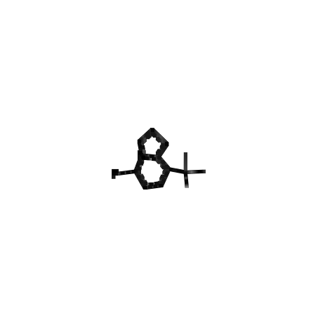 CC(C)(C)c1ccc(F)n2cccc12